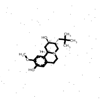 COc1cc2c(cc1O)CCN1C[C@@H](CC(C)(C)C)[C@H](O)C[C@H]21